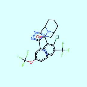 O=C(c1cccc(C(F)(F)F)c1Cl)N1C2CCCC1c1nnc(-c3cc(OC(F)(F)F)ccn3)n1C2